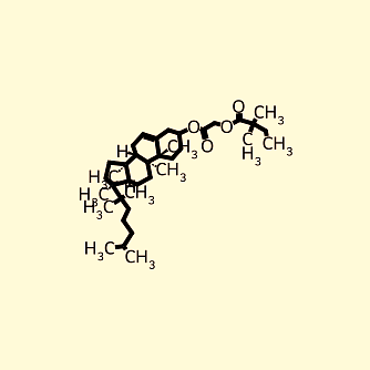 CCC(C)(C)C(=O)OCC(=O)OC1CC[C@@]2(C)C(=CC[C@H]3[C@]4(C)CC[C@](C)(C(C)(C)CCCC(C)C)[C@H]4CC[C@@]32C)C1